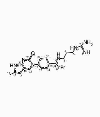 CCC[C@H](NCCCNC(=N)N)c1ccc(-n2cc3cc(C)[nH]c3nc2=O)cc1